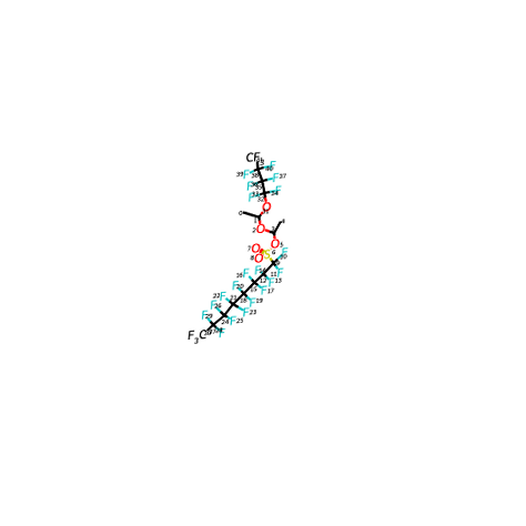 CC(OC(C)OS(=O)(=O)C(F)(F)C(F)(F)C(F)(F)C(F)(F)C(F)(F)C(F)(F)C(F)(F)C(F)(F)F)OC(F)(F)C(F)(F)C(F)(F)C(F)(F)F